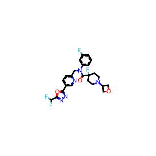 O=C(N(Cc1ccc(-c2nnc(C(F)F)o2)cn1)c1cccc(F)c1)C1(F)CCN(C2COC2)CC1